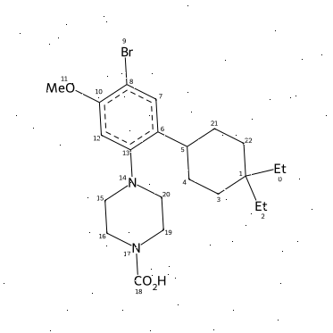 CCC1(CC)CCC(c2cc(Br)c(OC)cc2N2CCN(C(=O)O)CC2)CC1